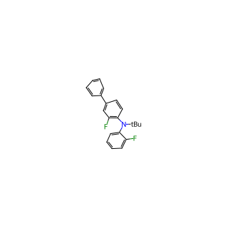 CC(C)(C)N(c1ccccc1F)c1ccc(-c2ccccc2)cc1F